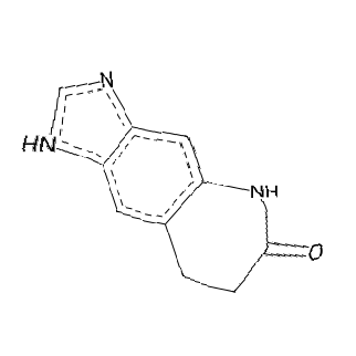 O=C1CCc2cc3[nH]cnc3cc2N1